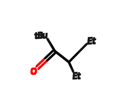 CCC(CC)C(=O)C(C)(C)C